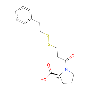 O=C(O)[C@@H]1CCCN1C(=O)CCSSCCc1ccccc1